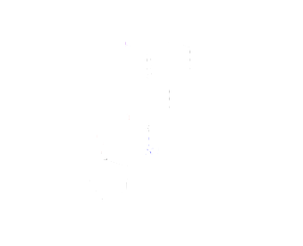 O=C(Cc1cccc(I)c1)NC1CCCC1=O